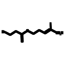 CC(=CCCOC(=O)CCBr)C(=O)O